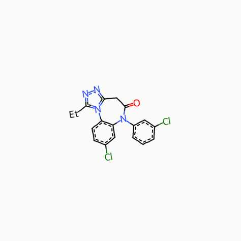 CCc1nnc2n1-c1ccc(Cl)cc1N(c1cccc(Cl)c1)C(=O)C2